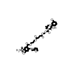 C[C@@H]1N(C(=O)OCOC(=O)CCC(=O)OCCCOC(=O)c2cc(S(N)(=O)=O)c(Cl)cc2NCc2ccco2)C(C)(C)CO[C@@]1(O)c1cccc(Cl)c1